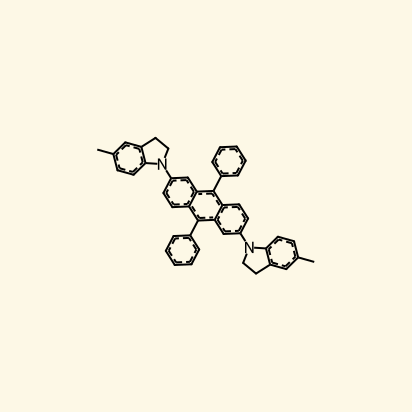 Cc1ccc2c(c1)CCN2c1ccc2c(-c3ccccc3)c3cc(N4CCc5cc(C)ccc54)ccc3c(-c3ccccc3)c2c1